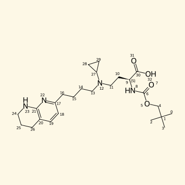 CC(C)(C)COC(=O)N[C@@H](CCN(CCCCc1ccc2c(n1)NCCC2)C1CC1)C(=O)O